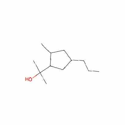 CCCC1CC(C)C(C(C)(C)O)C1